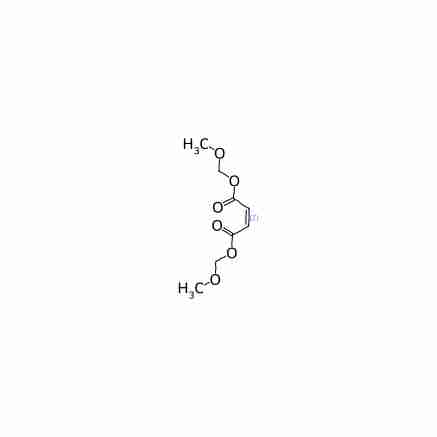 COCOC(=O)/C=C\C(=O)OCOC